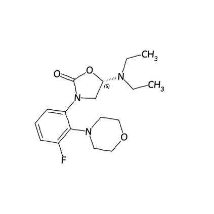 CCN(CC)[C@@H]1CN(c2cccc(F)c2N2CCOCC2)C(=O)O1